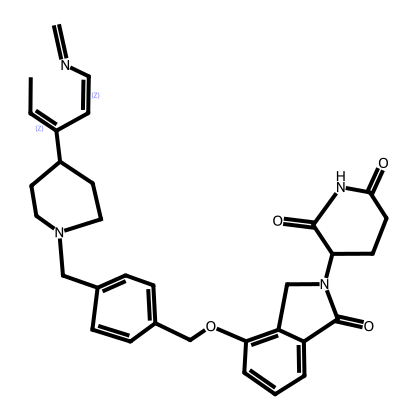 C=N/C=C\C(=C/C)C1CCN(Cc2ccc(COc3cccc4c3CN(C3CCC(=O)NC3=O)C4=O)cc2)CC1